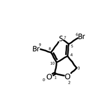 O=C1OCc2c(Br)sc(Br)c21